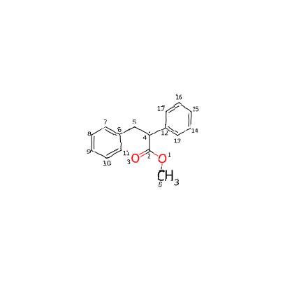 COC(=O)[C](Cc1ccccc1)c1ccccc1